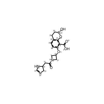 O=C(O)c1c(OC2CN(C(=O)CC3CN=CN3)C2)ccc2c1OB(O)CC2